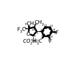 Cc1c([C@H]2[C@H](C(=O)O)O[C@@](C)(C(F)(F)F)[C@H]2C)ccc(F)c1F